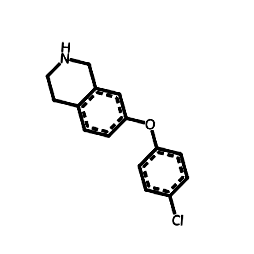 Clc1ccc(Oc2ccc3c(c2)CNCC3)cc1